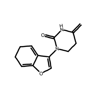 C=C1CCN(c2coc3c2=CCCC=3)C(=O)N1